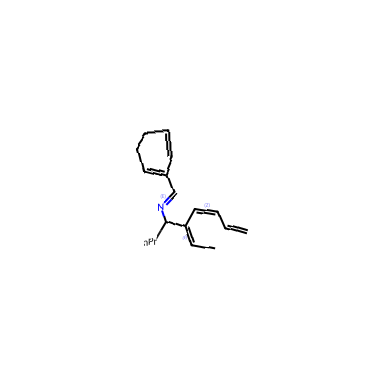 C=C/C=C\C(=C/C)C(CCC)/N=C/C1=CCCC=C1